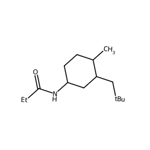 CCC(=O)NC1CCC(C)C(CC(C)(C)C)C1